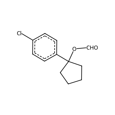 O=COC1(c2ccc(Cl)cc2)CCCC1